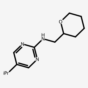 CC(C)c1cnc(NCC2CCCCO2)nc1